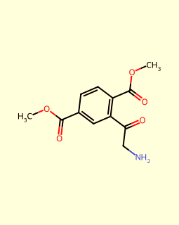 COC(=O)c1ccc(C(=O)OC)c(C(=O)CN)c1